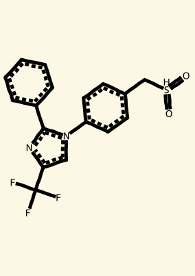 O=[SH](=O)Cc1ccc(-n2cc(C(F)(F)F)nc2-c2ccccc2)cc1